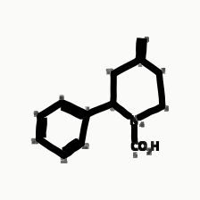 C=C1CCN(C(=O)O)C(c2ccccc2)C1